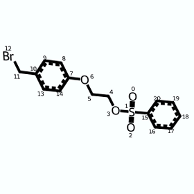 O=S(=O)(OCCOc1ccc(CBr)cc1)c1ccccc1